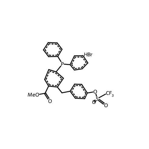 Br.COC(=O)c1ccc(P(c2ccccc2)c2ccccc2)cc1Cc1ccc(OS(=O)(=O)C(F)(F)F)cc1